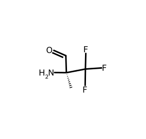 C[C@](N)(C=O)C(F)(F)F